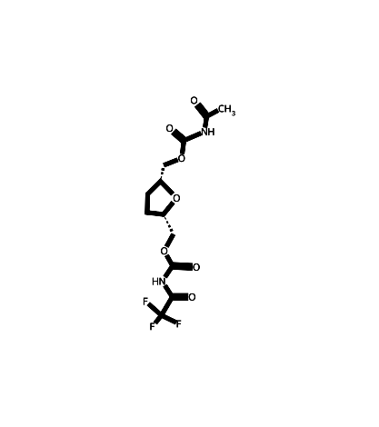 CC(=O)NC(=O)OC[C@H]1CC[C@@H](COC(=O)NC(=O)C(F)(F)F)O1